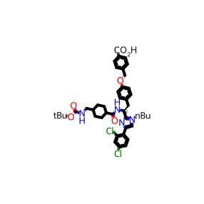 CCCCn1cc(-c2ccc(Cl)cc2Cl)nc1[C@H](Cc1ccc(OCc2ccc(C(=O)O)cc2)cc1)NC(=O)C1CCC(CNC(=O)OC(C)(C)C)CC1